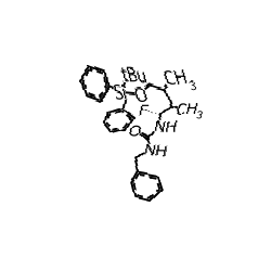 CC([C@H](C)CO[Si](c1ccccc1)(c1ccccc1)C(C)(C)C)[C@@H](F)NC(=O)NCc1ccccc1